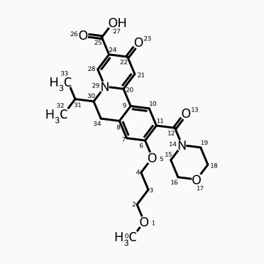 COCCCOc1cc2c(cc1C(=O)N1CCOCC1)-c1cc(=O)c(C(=O)O)cn1C(C(C)C)C2